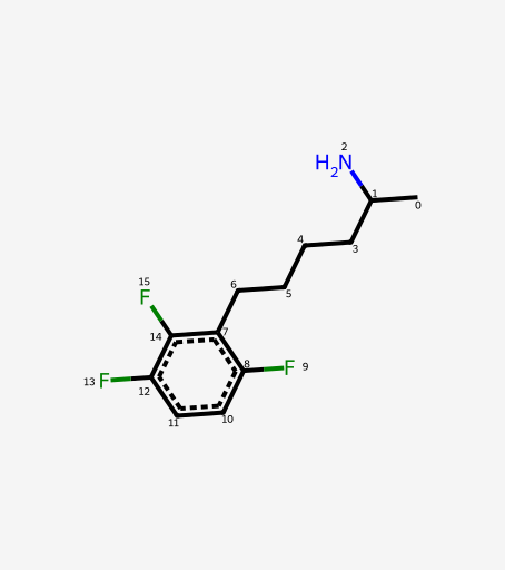 CC(N)CCCCc1c(F)ccc(F)c1F